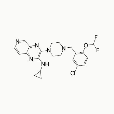 FC(F)Oc1ccc(Cl)cc1CN1CCN(c2nc3cnccc3nc2NC2CC2)CC1